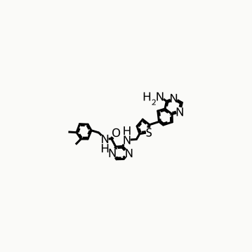 Cc1ccc(CNC(=O)c2nccnc2NCc2ccc(-c3ccc4ncnc(N)c4c3)s2)cc1C